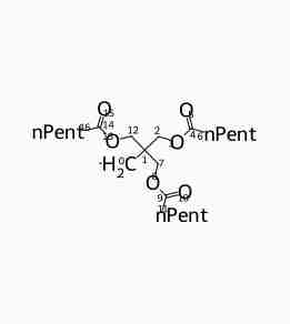 [CH2]C(COC(=O)CCCCC)(COC(=O)CCCCC)COC(=O)CCCCC